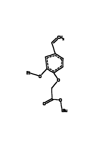 C=Cc1ccc(OCC(=O)OC(C)(C)C)c(OCC)c1